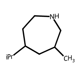 CC1CNCCC(C(C)C)C1